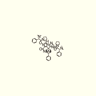 CNC(=O)c1nc([C@@H]2CCCN2C(=O)[C@@H](c2ccccc2)N(C)C)[nH]c1C1(c2cnc([C@@H]3CCCN3C(=O)[C@@H](c3ccccc3)N(C)C)[nH]2)C=CC(c2ccccc2)C=C1